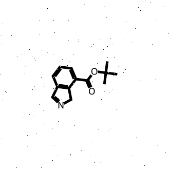 CC(C)(C)OC(=O)c1cccc2c1CN=C2